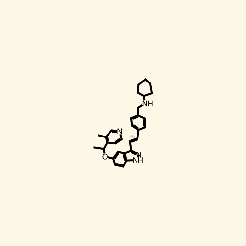 Cc1cnccc1C(C)Oc1ccc2[nH]nc(/C=C/c3ccc(CNC4CCCCC4)cc3)c2c1